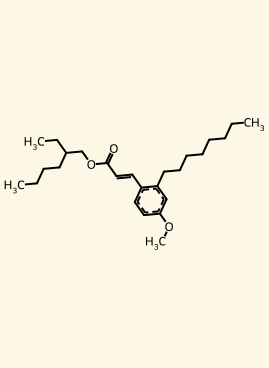 CCCCCCCCc1cc(OC)ccc1C=CC(=O)OCC(CC)CCCC